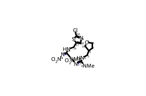 CN/C(=N/[N+](=O)[O-])NCC1CCOC1.CN/C(=N\[N+](=O)[O-])NCc1cnc(Cl)s1